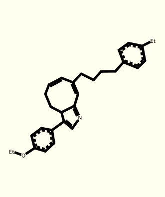 CCOc1ccc(C2=CN=C3/C=C(CCCCc4ccc(CC)cc4)\C=C/CCC23)cc1